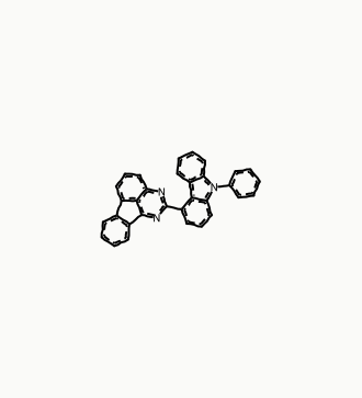 c1ccc(-n2c3ccccc3c3c(-c4nc5c6c(cccc6n4)-c4ccccc4-5)cccc32)cc1